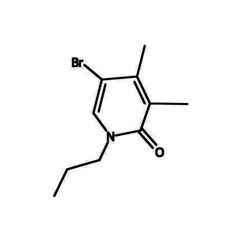 CCCn1cc(Br)c(C)c(C)c1=O